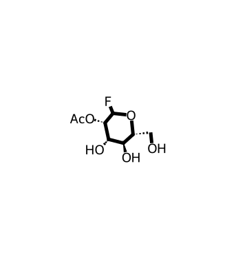 CC(=O)O[C@@H]1C(F)O[C@H](CO)[C@@H](O)[C@@H]1O